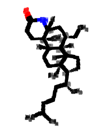 CC[C@H]1C[C@H]2NC(=O)CC[C@]2(C)[C@H]2CC[C@]3(C)[C@@H]([C@H](C)CCCC(C)C)CC[C@H]3[C@H]12